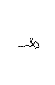 CCCCCC1(C=O)CCCC1